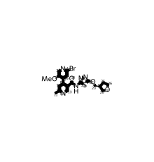 COc1cnc(Br)cc1-c1cc(C)ncc1C(=O)Nc1nnc(OC[C@H]2CCOC2)s1